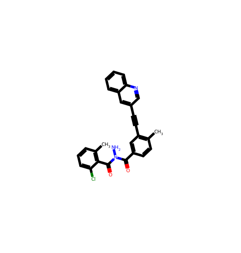 Cc1ccc(C(=O)N(N)C(=O)c2c(C)cccc2Cl)cc1C#Cc1cnc2ccccc2c1